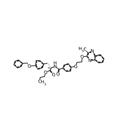 CCCOC(=O)[C@H](Cc1ccc(OCc2ccccc2)cc1)NC(=O)c1ccc(OCCOc2nc3ccccc3nc2C)cc1